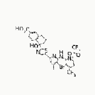 Cc1cc(-c2cnc(C3(O)CCCc4cc(C(=O)O)ccc43)s2)nc(Nc2cc(C(F)(F)F)cc[n+]2OC(=O)C(F)(F)F)c1Br